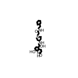 O=C(CCN1CCC(NC[C@@H](O)c2ccc(O)c3[nH]c(=O)ccc23)CC1)NCCc1ccccc1